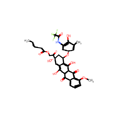 CCCCC(=O)OCC(=O)[C@]1(O)CC2=C(O)C3C(=O)c4cccc(OC)c4C(=O)C3C(O)=C2C(O[C@@H]2C=C(C)C(O)=C(NC(=O)C(F)(F)F)C2)C1